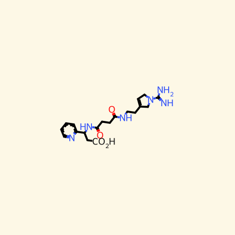 N=C(N)N1CC=C(CCNC(=O)CCC(=O)NC(CC(=O)O)c2ccccn2)C1